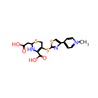 C[n+]1ccc(-c2csc(SC3=C(C(=O)O)NC(CC(=O)O)SC3)n2)cc1